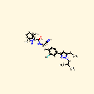 CCc1cc(-c2ccc(C[C@@H](C#N)NC(=O)[C@H]3N[C@@H]4CC[C@H]3C4)c(F)c2)nn1CC(C)C